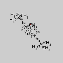 CC1C2C3CC4(C#C[Si](C)(C)C)CC5C3CC1(C#C[Si](C)(C)C)CC5C2C4